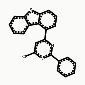 Clc1cc(-c2cccc3sc4ccccc4c23)nc(-c2ccccc2)n1